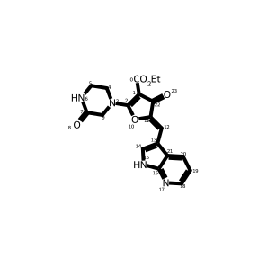 CCOC(=O)C1=C(N2CCNC(=O)C2)OC(=Cc2c[nH]c3ncccc23)C1=O